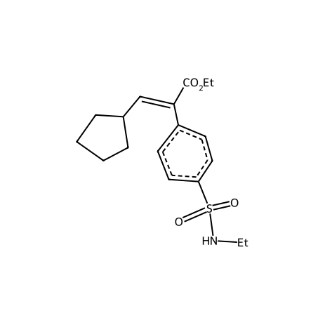 CCNS(=O)(=O)c1ccc(/C(=C\C2CCCC2)C(=O)OCC)cc1